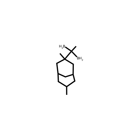 BC(B)(C)C1(C)CC2CC(C)CC(C2)C1